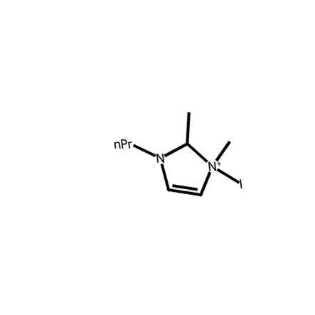 CCCN1C=C[N+](C)(I)C1C